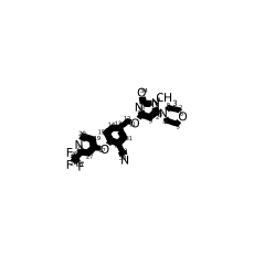 Cn1c(N2CCOCC2)cc(OCc2ccc(Oc3ccnc(C(F)(F)F)c3)c(C#N)c2)nc1=O